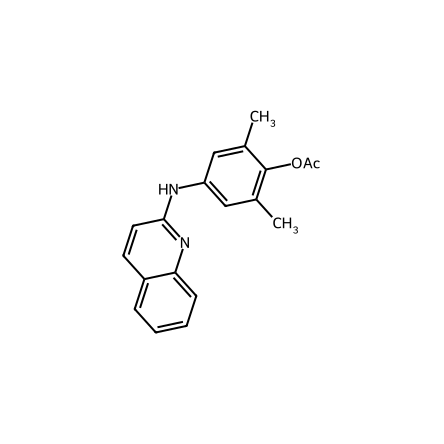 CC(=O)Oc1c(C)cc(Nc2ccc3ccccc3n2)cc1C